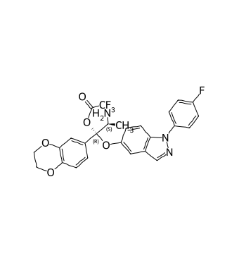 C[C@H](N)[C@@](OC(=O)C(F)(F)F)(Oc1ccc2c(cnn2-c2ccc(F)cc2)c1)c1ccc2c(c1)OCCO2